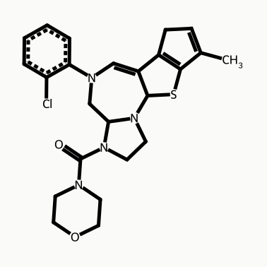 CC1=CCC2=C1SC1C2=CN(c2ccccc2Cl)CC2N(C(=O)N3CCOCC3)CCN12